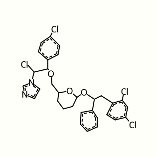 Clc1ccc(C(OCC2CCCC(OC(Cc3ccc(Cl)cc3Cl)c3ccccc3)O2)C(Cl)n2ccnc2)cc1